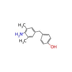 Cc1cc(Cc2ccc(O)cc2)cc(C)c1N